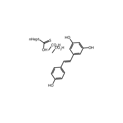 CC(=O)O.CC(=O)O.CCCCCCCC(O)=S.Oc1ccc(C=Cc2cc(O)cc(O)c2)cc1